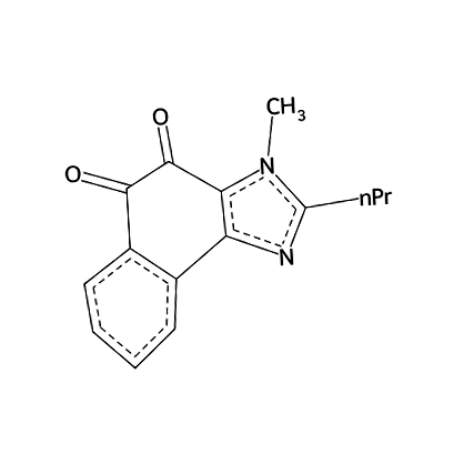 CCCc1nc2c(n1C)C(=O)C(=O)c1ccccc1-2